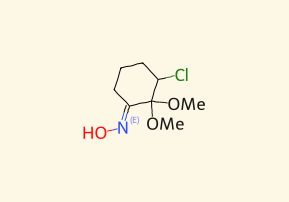 COC1(OC)/C(=N/O)CCCC1Cl